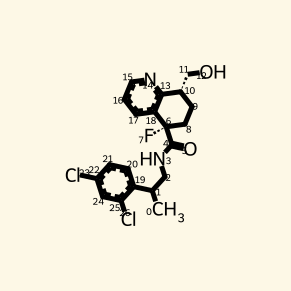 CC(CNC(=O)[C@]1(F)CC[C@@H](CO)c2ncccc21)c1ccc(Cl)cc1Cl